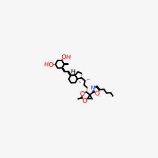 C=C1/C(=C\C=C2/CCC[C@]3(C)[C@@H]([C@H](C)CC[C@@H](OC(C)=O)C4(c5ncc(CCCC)o5)CC4)CC[C@@H]23)C[C@H](O)C[C@@H]1O